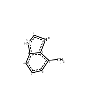 Cc1[c]ccc2[nH][c]nc12